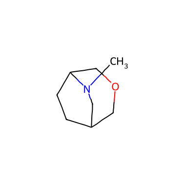 CN1CC2CCC1COC2